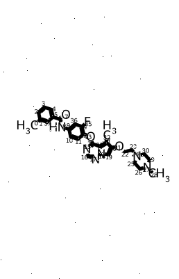 Cc1cccc(C(=O)Nc2ccc(Oc3ncnn4cc(OCCN5CCN(C)CC5)c(C)c34)c(F)c2)c1